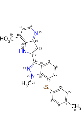 Cc1ccc(Sc2cccc3c(-c4cc5nccc(C(=O)O)c5[nH]4)nn(C)c23)cc1